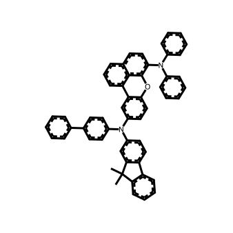 CC1(C)c2ccccc2-c2ccc(N(c3ccc(-c4ccccc4)cc3)c3ccc4c(c3)-c3cccc5ccc(N(c6ccccc6)c6ccccc6)c(c35)O4)cc21